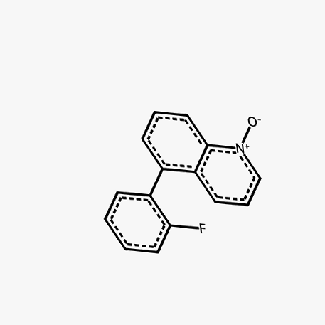 [O-][n+]1cccc2c(-c3ccccc3F)cccc21